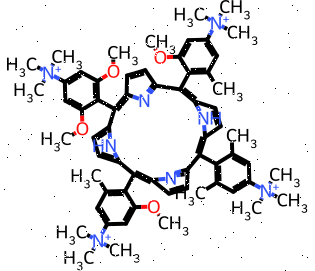 COc1cc([N+](C)(C)C)cc(C)c1-c1c2nc(c(-c3c(OC)cc([N+](C)(C)C)cc3OC)c3ccc([nH]3)c(-c3c(C)cc([N+](C)(C)C)cc3OC)c3nc(c(-c4c(C)cc([N+](C)(C)C)cc4C)c4ccc1[nH]4)C=C3)C=C2